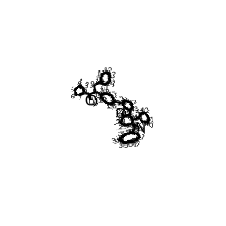 O=C(c1ccccc1)C(Cc1ccccc1)c1ccc(-c2cccc3c2oc2ccc4c(-c5ccccc5)nc5ccccc5c4c23)cc1